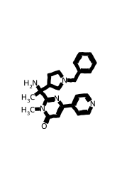 Cn1c(C(C)(N)C2CCN(Cc3ccccc3)C2)nc(-c2ccncc2)cc1=O